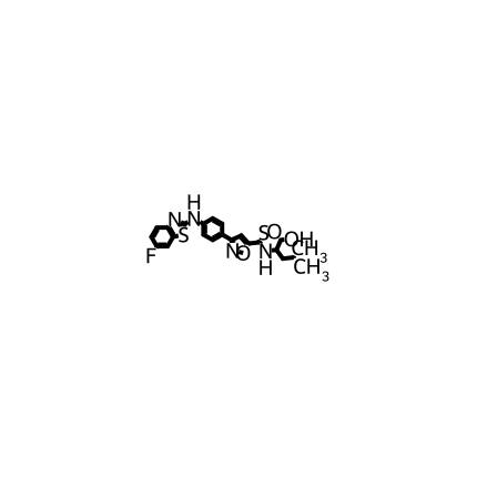 CC(C)CC(NC(=S)c1cc(-c2ccc(Nc3nc4ccc(F)cc4s3)cc2)no1)C(=O)O